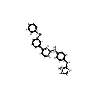 c1ccc(Nc2cccc(-c3ccnc(Nc4ccc(Cc5ncn[nH]5)cc4)n3)c2)cc1